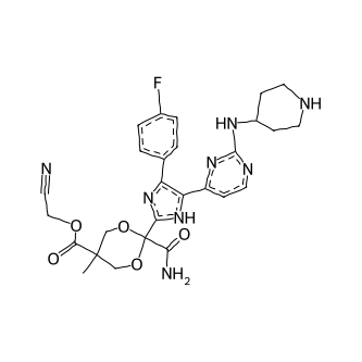 CC1(C(=O)OCC#N)COC(C(N)=O)(c2nc(-c3ccc(F)cc3)c(-c3ccnc(NC4CCNCC4)n3)[nH]2)OC1